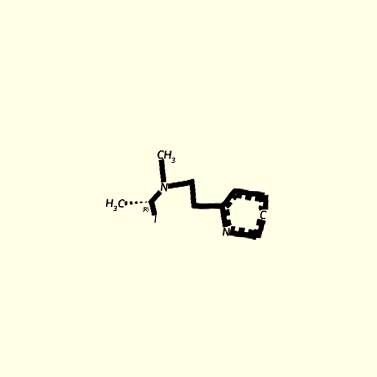 C[C@@H](I)N(C)CCc1ccccn1